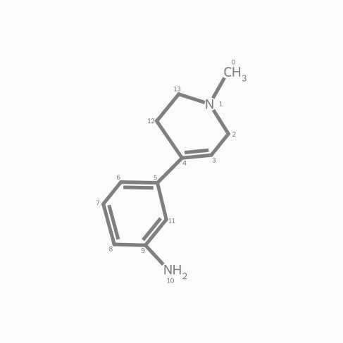 CN1CC=C(c2cccc(N)c2)CC1